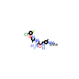 CSNc1cc2[nH]c(C(=O)C(/C=N\N(C)c3cnc(Oc4cc(F)ccc4Cl)cc3C)=C\N)cc2cc1C